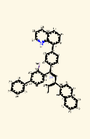 CC(C)=C(/C=C(/c1ccc(-c2cccc3cccnc23)cc1)c1ccc(-c2ccccc2)cc1I)c1ccc2ccccc2c1